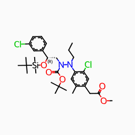 CCCN(c1cc(C)c(CC(=O)OC)cc1Cl)N(C[C@H](O[Si](C)(C)C(C)(C)C)c1cccc(Cl)c1)C(=O)OC(C)(C)C